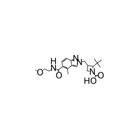 COCCNC(=O)c1ccc2nn(CC3CN(C(=O)O)C3C(C)(C)C)cc2c1C